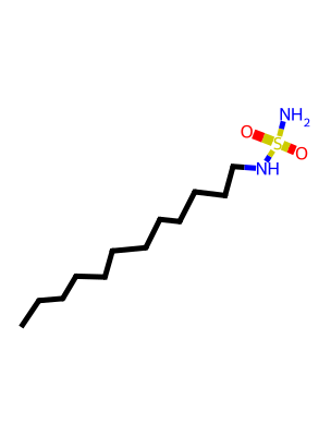 CCCCCCCCCCCCNS(N)(=O)=O